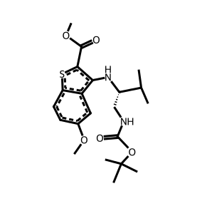 COC(=O)c1sc2ccc(OC)cc2c1N[C@@H](CNC(=O)OC(C)(C)C)C(C)C